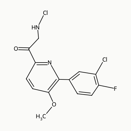 COc1ccc(C(=O)CNCl)nc1-c1ccc(F)c(Cl)c1